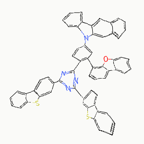 c1ccc2cc3c(cc2c1)c1ccccc1n3-c1ccc(-c2nc(-c3ccc4c(c3)sc3ccccc34)nc(-c3ccc4c(c3)sc3ccccc34)n2)c(-c2cccc3c2oc2ccccc23)c1